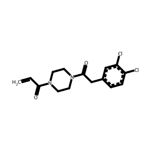 C=CC(=O)N1CCN(C(=O)Cc2ccc(Cl)c(Cl)c2)CC1